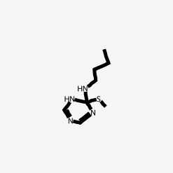 CCCCNC1(SC)N=CN=CN1